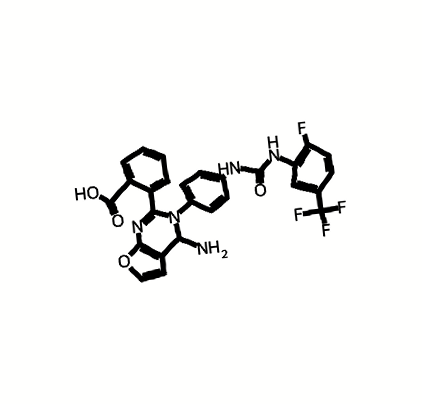 NC1c2ccoc2N=C(c2ccccc2C(=O)O)N1c1ccc(NC(=O)Nc2cc(C(F)(F)F)ccc2F)cc1